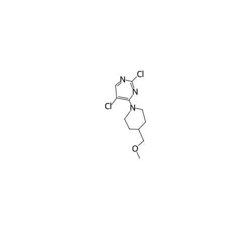 COCC1CCN(c2nc(Cl)ncc2Cl)CC1